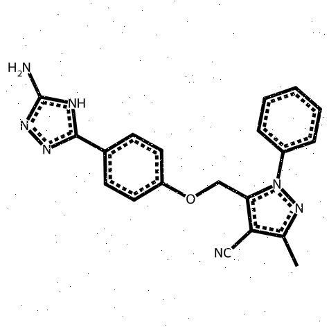 Cc1nn(-c2ccccc2)c(COc2ccc(-c3nnc(N)[nH]3)cc2)c1C#N